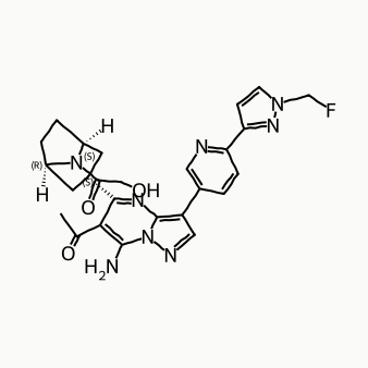 CC(=O)c1c([C@@H]2C[C@H]3CC[C@@H](C2)N3C(=O)CO)nc2c(-c3ccc(-c4ccn(CF)n4)nc3)cnn2c1N